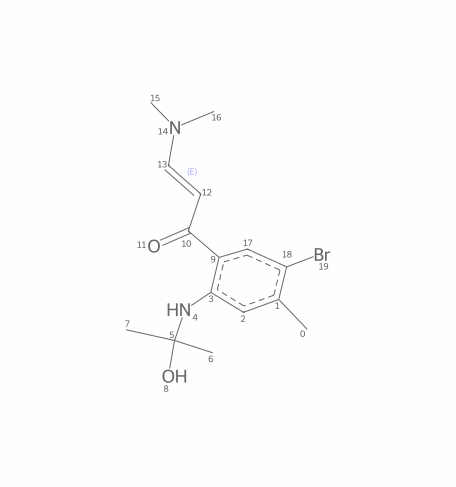 Cc1cc(NC(C)(C)O)c(C(=O)/C=C/N(C)C)cc1Br